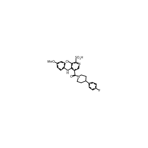 COc1ccc(Nc2c(C(=O)N3CCC(c4ccc(F)cc4)CC3)cnc(S(=O)(=O)O)c2Cl)cc1